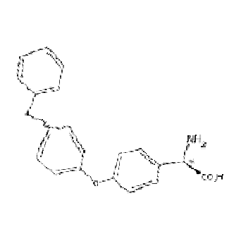 N[C@@H](C(=O)O)c1ccc(Oc2ccc(Cc3ccccc3)cc2)cc1